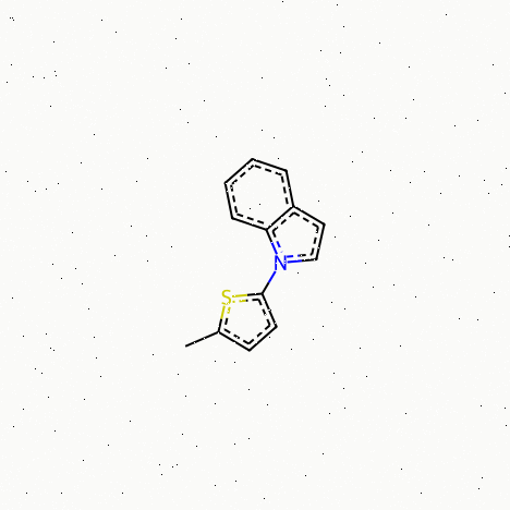 Cc1ccc(-n2ccc3ccccc32)s1